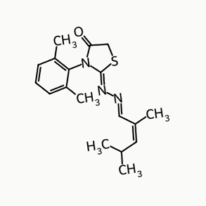 CC(=C/C(C)C)/C=N/N=C1\SCC(=O)N1c1c(C)cccc1C